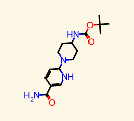 CC(C)(C)OC(=O)NC1CCN(C2C=CC(C(N)=O)=CN2)CC1